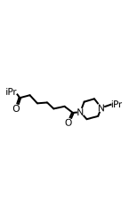 CC(C)C(=O)CCCCCC(=O)N1CCN(C(C)C)CC1